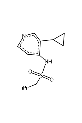 CC(C)CS(=O)(=O)Nc1ccncc1C1CC1